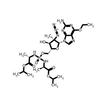 CCOc1nc(N)nc2c1ncn2[C@@H]1O[C@H](COP(=O)(N[C@@H](C)C(=O)OC(C)C)N[C@H](C)C(=O)OC(C)C)[C@@H](O)[C@@]1(C)N=[N+]=[N-]